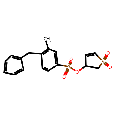 Cc1cc(S(=O)(=O)OC2C=CS(=O)(=O)C2)ccc1Cc1ccccc1